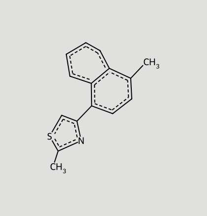 Cc1nc(-c2ccc(C)c3ccccc23)cs1